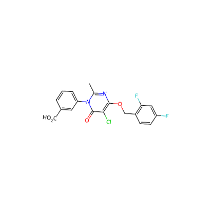 Cc1nc(OCc2ccc(F)cc2F)c(Cl)c(=O)n1-c1cccc(C(=O)O)c1